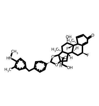 CNc1ccc(Cc2ccc([C@H]3O[C@@H]4C[C@H]5[C@@H]6C[C@H](F)C7=CC(=O)C=C[C@]7(C)[C@@]6(F)[C@@H](O)C[C@]5(C)[C@]4(C(=O)CO)O3)cc2)cc1C